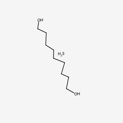 OCCCCCCCCCO.S